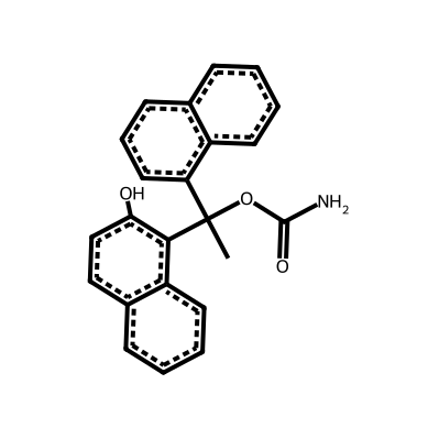 CC(OC(N)=O)(c1cccc2ccccc12)c1c(O)ccc2ccccc12